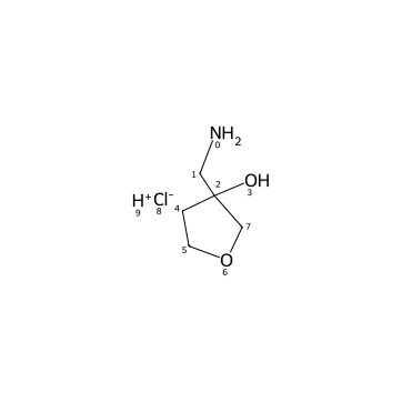 NCC1(O)CCOC1.[Cl-].[H+]